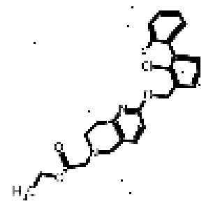 CCOC(=O)CN1CCc2nc(OCc3cccc(-c4ccccc4F)c3Cl)ccc2C1